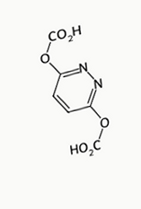 O=C(O)Oc1ccc(OC(=O)O)nn1